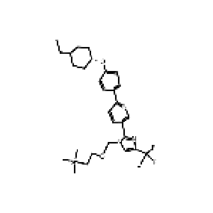 CC[C@H]1CC[C@H](Oc2ccc(-c3ccc(-c4nc(C(F)(F)F)cn4COCC[Si](C)(C)C)cn3)cc2)CC1